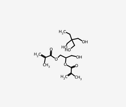 C=C(C)C(=O)OCC(CO)OC(=O)C(=C)C.CCC(CO)(CO)CO